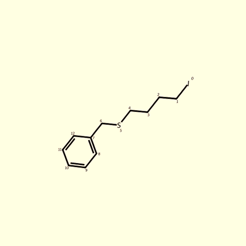 ICCCCSCc1ccccc1